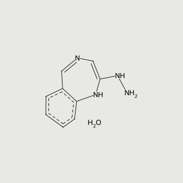 NNC1=CN=Cc2ccccc2N1.O